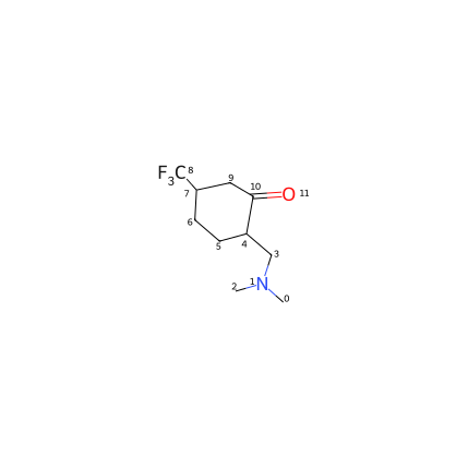 CN(C)CC1CCC(C(F)(F)F)CC1=O